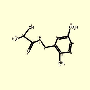 CC(O)C(=O)NCc1cc(C(=O)O)ccc1N